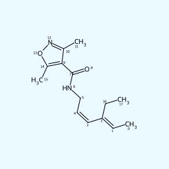 C/C=C(/C=C\CNC(=O)c1c(C)noc1C)CC